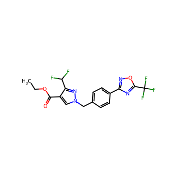 CCOC(=O)c1cn(Cc2ccc(-c3noc(C(F)(F)F)n3)cc2)nc1C(F)F